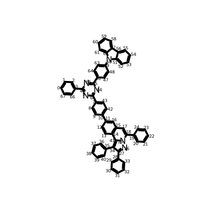 c1ccc(-c2nc(-c3ccc(-c4ccc5c(c4)cc(-c4ccccc4)n4nc(-c6ccccc6)c(-c6ccccc6)c54)cc3)nc(-c3ccc(-n4c5ccccc5c5ccccc54)cc3)n2)cc1